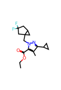 CCOC(=O)c1c(C)c(C2CC2)nn1CC12CC1CC(F)(F)C2